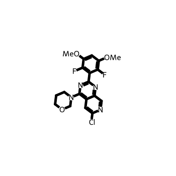 COc1cc(OC)c(F)c(-c2nc(N3CCCOC3)c3cc(Cl)ncc3n2)c1F